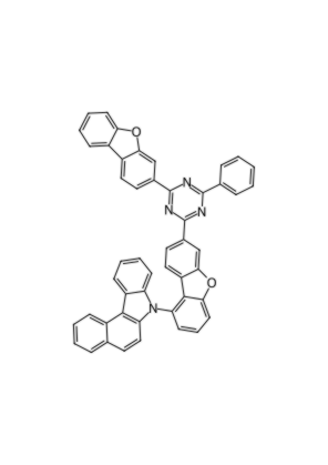 c1ccc(-c2nc(-c3ccc4c(c3)oc3ccccc34)nc(-c3ccc4c(c3)oc3cccc(-n5c6ccccc6c6c7ccccc7ccc65)c34)n2)cc1